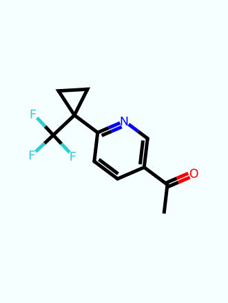 CC(=O)c1ccc(C2(C(F)(F)F)CC2)nc1